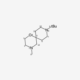 CN1CCOC2(CCN(C(C)(C)C)CC2)C1